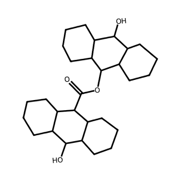 O=C(OC1C2CCCCC2C(O)C2CCCCC21)C1C2CCCCC2C(O)C2CCCCC21